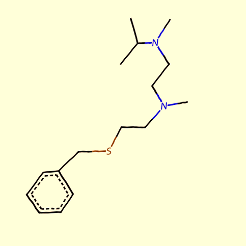 CC(C)N(C)CCN(C)CCSCc1ccccc1